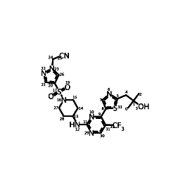 CC(C)(O)Cc1ncc(-c2nc(NC3CCN(S(=O)(=O)c4cnn(CC#N)c4)CC3)ncc2C(F)(F)F)s1